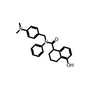 CN(C)c1ccc(CN(C(=O)C2CCCc3c(O)cccc32)c2ccccc2)cc1